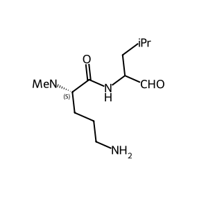 CN[C@@H](CCCN)C(=O)NC(C=O)CC(C)C